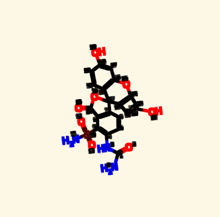 NC(=O)Nc1ccc2c(c1S(N)(=O)=O)C(=O)OC21c2ccc(O)cc2Oc2cc(O)ccc21